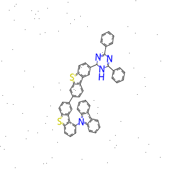 c1ccc(C2=NC(c3ccc4sc5cc(-c6ccc7sc8cccc(-n9c%10ccccc%10c%10ccccc%109)c8c7c6)ccc5c4c3)NC(c3ccccc3)=N2)cc1